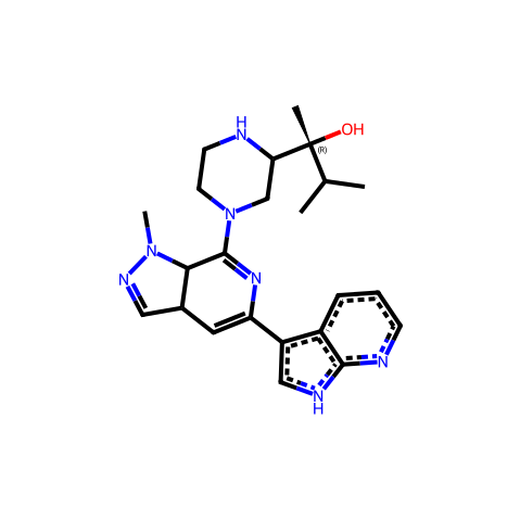 CC(C)[C@@](C)(O)C1CN(C2=NC(c3c[nH]c4ncccc34)=CC3C=NN(C)C23)CCN1